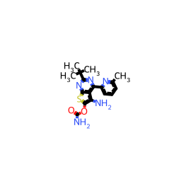 Cc1cccc(-c2nc(C(C)(C)C)nc3sc(OC(N)=O)c(N)c23)n1